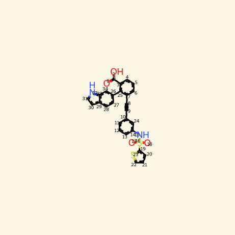 O=C(O)c1cccc(C#Cc2cccc(NS(=O)(=O)c3cccs3)c2)c1-c1ccc2cc[nH]c2c1